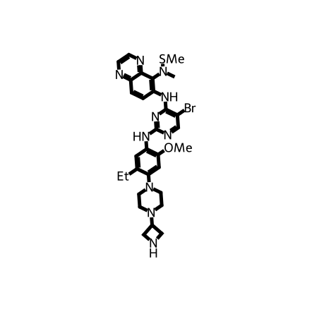 CCc1cc(Nc2ncc(Br)c(Nc3ccc4nccnc4c3N(C)SC)n2)c(OC)cc1N1CCN(C2CNC2)CC1